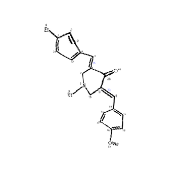 CCc1ccc(/C=C2\CN(CC)C/C(=C\c3ccc(OC)cc3)C2=O)cc1